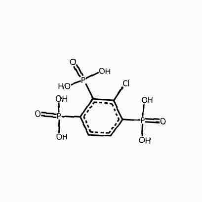 O=P(O)(O)c1ccc(P(=O)(O)O)c(P(=O)(O)O)c1Cl